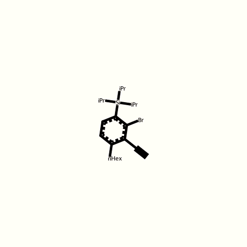 C#Cc1c(CCCCCC)ccc([Si](C(C)C)(C(C)C)C(C)C)c1Br